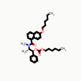 CCCCCCOC(=O)O[C@H](c1ccccc1)[C@H](C)N(C)C(=O)c1cccc2cc(OCCCCCC)ccc12